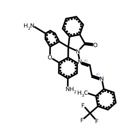 Cc1c(/N=C/C=N/N2C(=O)c3ccccc3C23c2ccc(N)cc2Oc2cc(N)ccc23)cccc1C(F)(F)F